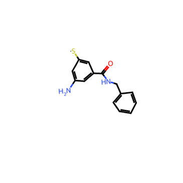 Nc1cc([S])cc(C(=O)NCc2ccccc2)c1